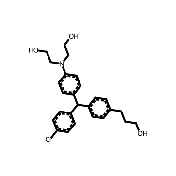 OCCCc1ccc(C(c2ccc(Cl)cc2)c2ccc(N(CCO)CCO)cc2)cc1